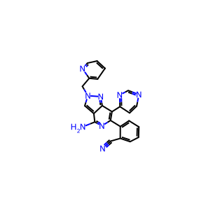 N#Cc1ccccc1-c1nc(N)c2cn(Cc3ccccn3)nc2c1-c1ccncn1